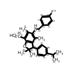 Cc1c(C)c2c(c(C)c1NCc1ccc(F)cc1)C(c1ccc(C(C)C)cc1)C(C)(C)O2.Cl